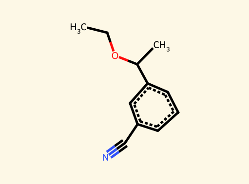 CCOC(C)c1cccc(C#N)c1